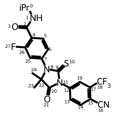 CC(C)NC(=O)c1ccc(N2C(=S)N(c3ccc(C#N)c(C(F)(F)F)c3)C(=O)C2(C)C)cc1F